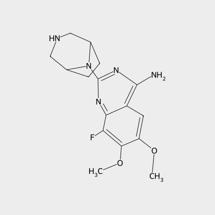 COc1cc2c(N)nc(N3C4CCC3CNC4)nc2c(F)c1OC